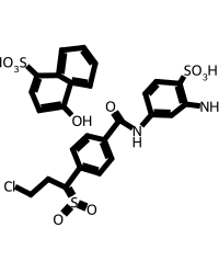 Nc1cc(NC(=O)c2ccc(C(CCCl)=S(=O)=O)cc2)ccc1S(=O)(=O)O.O=S(=O)(O)c1ccc(O)c2ccccc12